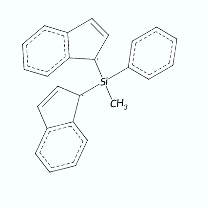 C[Si]([C]1C=Cc2ccccc21)([C]1C=Cc2ccccc21)c1ccccc1